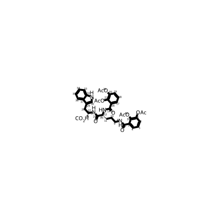 CC(=O)Oc1cccc(C(=O)NCCC[C@@H](NC(=O)c2cccc(OC(C)=O)c2OC(C)=O)C(=O)N[C@@H](Cc2c[nH]c3ccccc23)C(=O)O)c1OC(C)=O